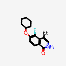 CCc1c[nH]c(=O)c2ccc(OC3CCCCC3)c(F)c12